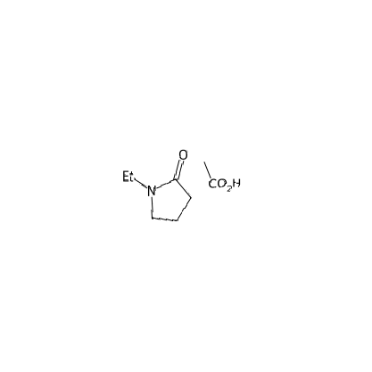 CC(=O)O.CCN1CCCC1=O